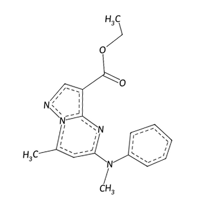 CCOC(=O)c1cnn2c(C)cc(N(C)c3ccccc3)nc12